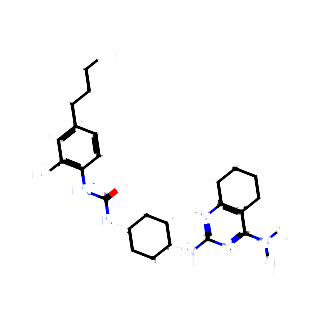 CCCCc1ccc(NC(=O)N[C@H]2CC[C@@H](Nc3nc4c(c(N(C)C)n3)CCCC4)CC2)c(C)c1